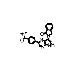 CN(C)C(=O)c1ccc(-c2cnc3[nH]cc(N4Cc5ccccc5C4=O)c3n2)cc1